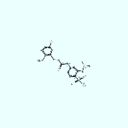 COc1ccc(Br)cc1CCC(=O)Nc1ccc(S(=O)(=O)C(F)(F)F)c(CN(C)C)c1